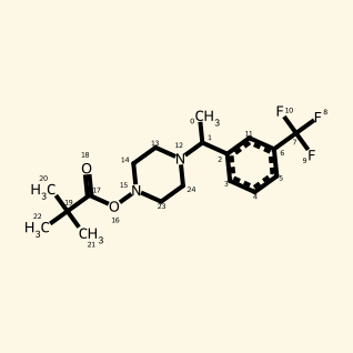 CC(c1cccc(C(F)(F)F)c1)N1CCN(OC(=O)C(C)(C)C)CC1